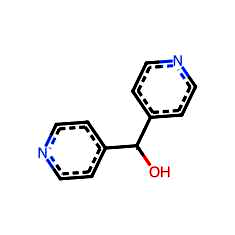 O[C](c1ccncc1)c1ccncc1